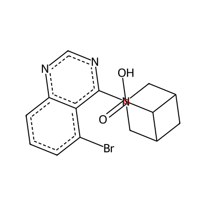 O=C(O)C1C2CC1CN(c1ncnc3cccc(Br)c13)C2